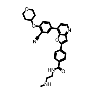 CNCCNC(=O)c1ccc(-c2cc3nccc(-c4ccc(OC5CCOCC5)c(C#N)c4)c3o2)cc1